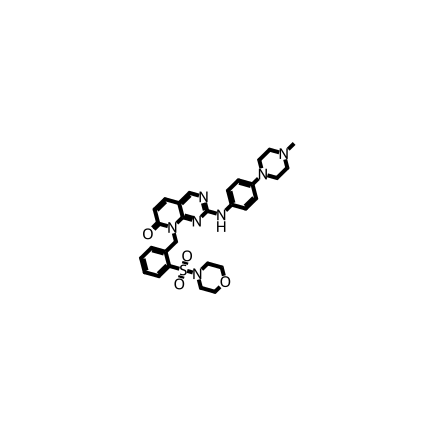 CN1CCN(c2ccc(Nc3ncc4ccc(=O)n(Cc5ccccc5S(=O)(=O)N5CCOCC5)c4n3)cc2)CC1